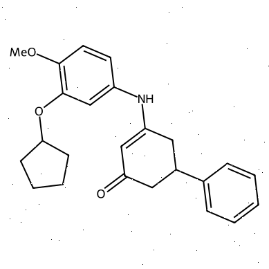 COc1ccc(NC2=CC(=O)CC(c3ccccc3)C2)cc1OC1CCCC1